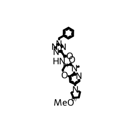 CO[C@H]1CCN(c2cnc3c(c2)OC[C@H](NC(=O)c2nnn(Cc4ccccc4)n2)C(=O)N3C)C1